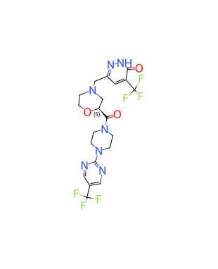 O=C([C@@H]1CN(Cc2cc(C(F)(F)F)c(=O)[nH]n2)CCO1)N1CCN(c2ncc(C(F)(F)F)cn2)CC1